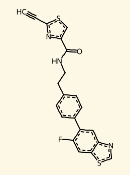 C#Cc1nc(C(=O)NCCc2ccc(-c3cc4ncsc4cc3F)cc2)cs1